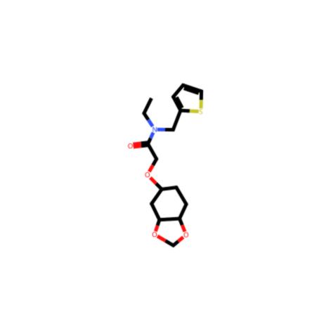 CCN(Cc1cccs1)C(=O)COC1CCC2OCOC2C1